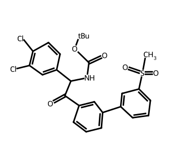 CC(C)(C)OC(=O)NC(C(=O)c1cccc(-c2cccc(S(C)(=O)=O)c2)c1)c1ccc(Cl)c(Cl)c1